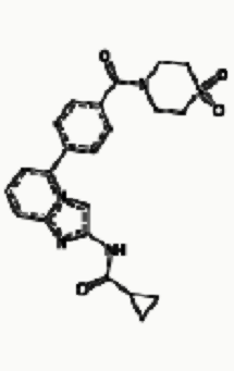 O=C(Nc1cn2c(-c3ccc(C(=O)N4CCS(=O)(=O)CC4)cc3)cccc2n1)C1CC1